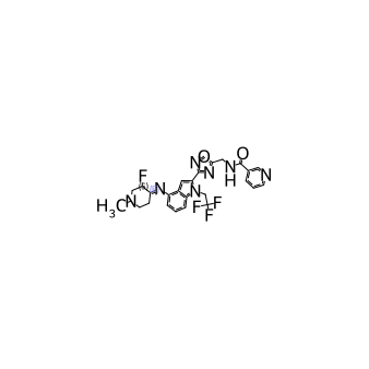 CN1CC/C(=N\c2cccc3c2cc(-c2noc(CNC(=O)c4cccnc4)n2)n3CC(F)(F)F)[C@@H](F)C1